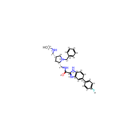 O=C(O)NC[C@H]1C[C@@H](CNC(=O)c2nc3cc(-c4ccc(F)cc4)ccc3[nH]2)N(Cc2ccccc2)C1